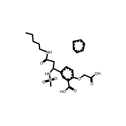 CCCCCNC(=O)CC(NS(C)(=O)=O)c1ccc(OCC(=O)O)c(C(=O)O)c1.c1ccccc1